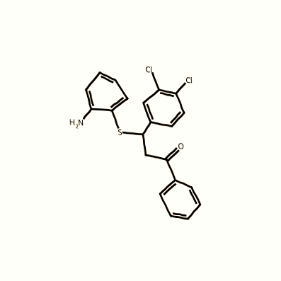 Nc1ccccc1SC(CC(=O)c1ccccc1)c1ccc(Cl)c(Cl)c1